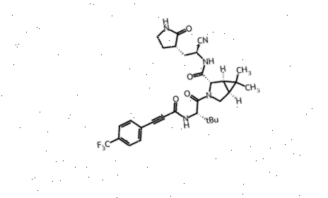 CC(C)(C)[C@H](NC(=O)C#Cc1ccc(C(F)(F)F)cc1)C(=O)N1C[C@H]2[C@@H]([C@H]1C(=O)N[C@H](C#N)C[C@@H]1CCNC1=O)C2(C)C